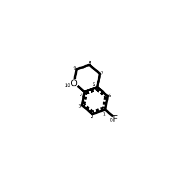 Fc1ccc2c(c1)CCCO2